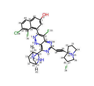 Oc1cc(-c2nnc3c(N4C[C@@H]5CC[C@H]4CN5)nc(C#C[C@@]45CCCN4C[C@H](F)C5)nc3c2F)c2c(F)c(Cl)ccc2c1